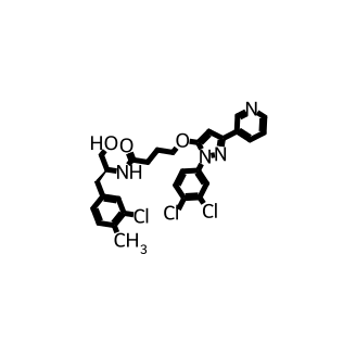 Cc1ccc(C[C@@H](CO)NC(=O)CCCOc2cc(-c3cccnc3)nn2-c2ccc(Cl)c(Cl)c2)cc1Cl